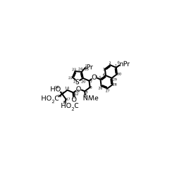 CCCc1ccc2c(OC(CC(NC)OC(=O)CC(O)(CC(=O)O)C(=O)O)c3sccc3C(C)C)cccc2c1